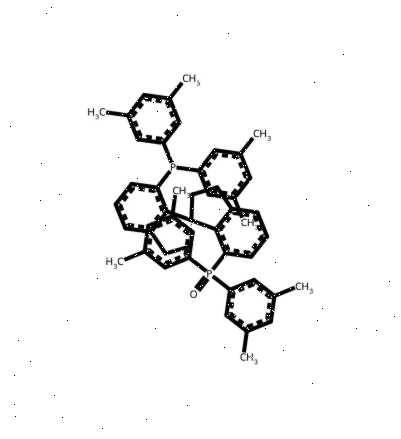 Cc1cc(C)cc(P(c2cc(C)cc(C)c2)c2cccc3c2[C@@]2(CC3)CCc3cccc(P(=O)(c4cc(C)cc(C)c4)c4cc(C)cc(C)c4)c32)c1